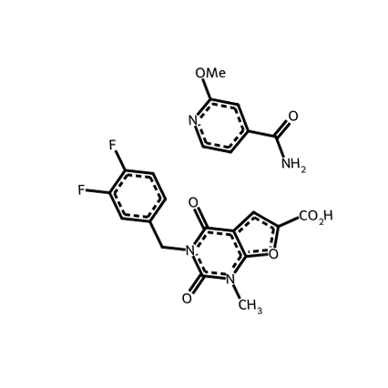 COc1cc(C(N)=O)ccn1.Cn1c(=O)n(Cc2ccc(F)c(F)c2)c(=O)c2cc(C(=O)O)oc21